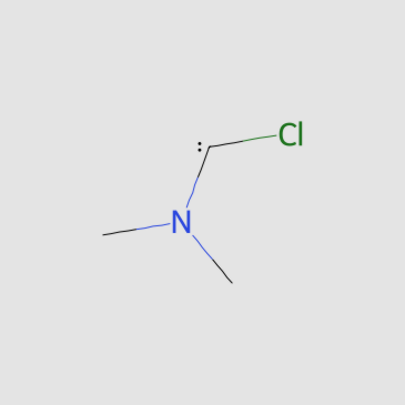 CN(C)[C]Cl